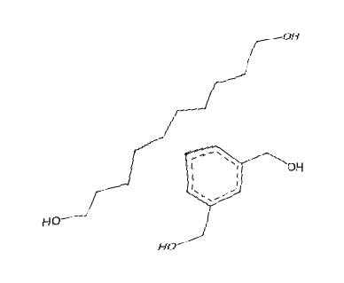 OCCCCCCCCCCO.OCc1cccc(CO)c1